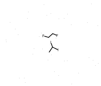 CC(I)I.FCCF